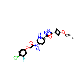 O=C(COc1ccc(Cl)c(F)c1)N[C@H]1CC[C@H](c2nnc([C@H]3C[C@@H](OC(F)(F)F)C3)o2)NC1